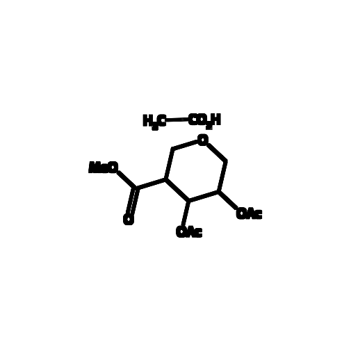 CC(=O)O.COC(=O)C1COCC(OC(C)=O)C1OC(C)=O